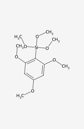 COc1cc(OC)c([Si](OC)(OC)OC)c(OC)c1